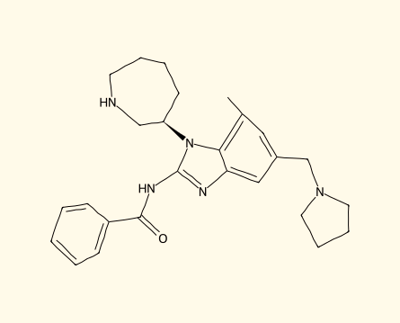 Cc1cc(CN2CCCC2)cc2nc(NC(=O)c3ccccc3)n([C@@H]3CCCCNC3)c12